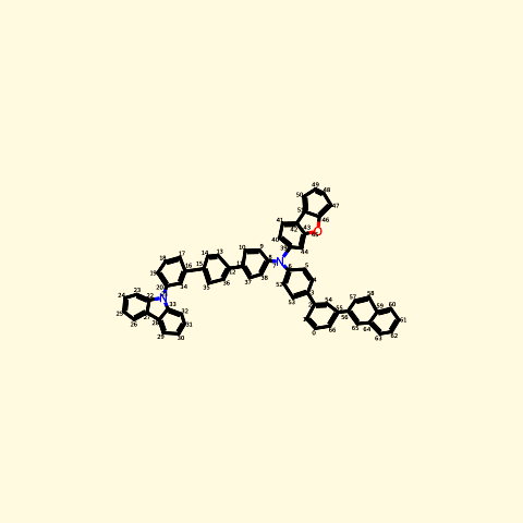 c1cc(-c2ccc(N(c3ccc(-c4ccc(-c5cccc(-n6c7ccccc7c7ccccc76)c5)cc4)cc3)c3ccc4c(c3)oc3ccccc34)cc2)cc(-c2ccc3ccccc3c2)c1